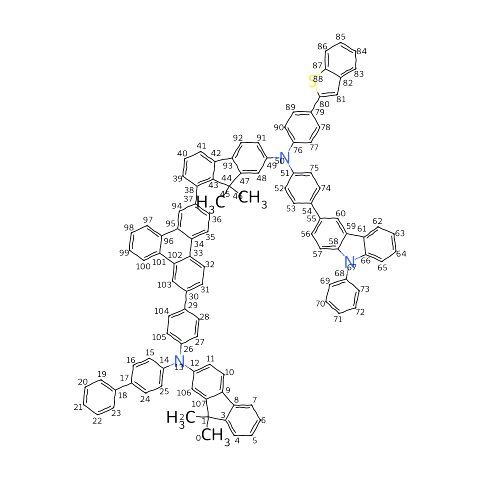 CC1(C)c2ccccc2-c2ccc(N(c3ccc(-c4ccccc4)cc3)c3ccc(-c4ccc5c6ccc(-c7cccc8c7C(C)(C)c7cc(N(c9ccc(-c%10ccc%11c(c%10)c%10ccccc%10n%11-c%10ccccc%10)cc9)c9ccc(-c%10cc%11ccccc%11s%10)cc9)ccc7-8)cc6c6ccccc6c5c4)cc3)cc21